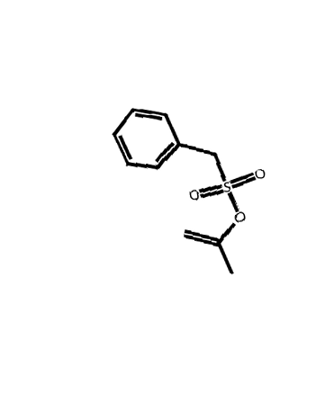 C=C(C)OS(=O)(=O)Cc1ccccc1